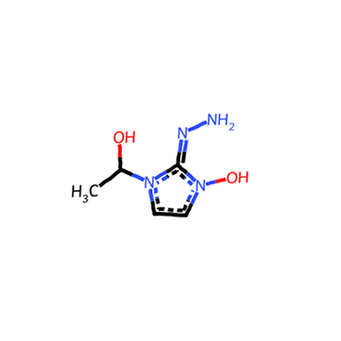 CC(O)n1ccn(O)c1=NN